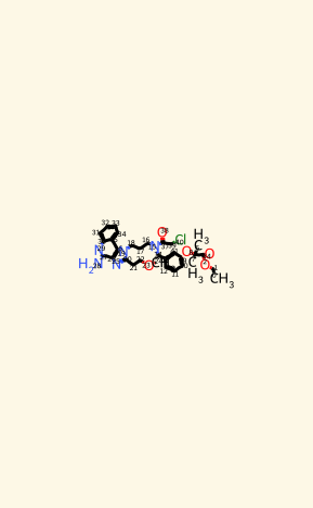 CCOC(=O)C(C)(C)Oc1cccc(CN(CCCn2c(CCOC)nc3c(N)nc4ccccc4c32)C(=O)CCl)c1